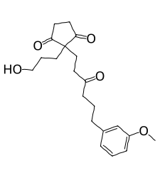 COc1cccc(CCCC(=O)CCC2(CCCO)C(=O)CCC2=O)c1